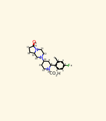 Cc1cc(F)ccc1C1CC(N2CCN3C(=O)CCC3C2)CCN1C(=O)O